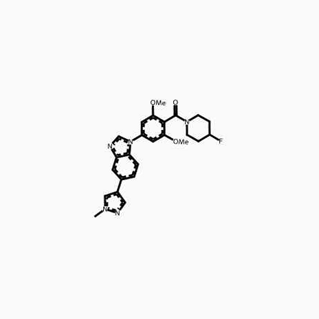 COc1cc(-n2cnc3cc(-c4cnn(C)c4)ccc32)cc(OC)c1C(=O)N1CCC(F)CC1